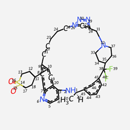 C[C@H]1Nc2ccnc3cc(c(C4CCS(=O)(=O)CC4)cc23)CCCCCn2cc(nn2)CN2CCC(CC2)C(F)(F)c2cccc1c2